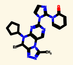 CCC1c2nnc(C)n2-c2cnc(-n3ccnc3-n3ccccc3=O)nc2N1C1CCCC1